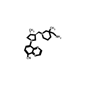 C[C@H]1CN(c2ccc(C#N)c3nccnc23)C[C@@H]1CN1CCCC(C)(CN)C1